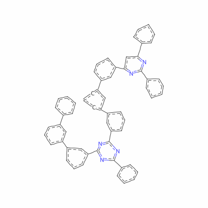 c1ccc(-c2cccc(-c3cccc(-c4nc(-c5ccccc5)nc(-c5cccc(-c6cccc(-c7cccc(-c8cc(-c9ccccc9)nc(-c9ccccc9)n8)c7)c6)c5)n4)c3)c2)cc1